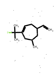 C=CC1CC=C(C(C)(C)F)CC(C)C1